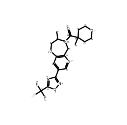 CC1COc2cc(-c3noc(C(F)(F)F)n3)cnc2CN1C(=O)C1(C)CCOCC1